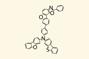 c1ccc(-c2nc3ccc4oc5cc(-c6ccc(N(c7ccc8c(c7)oc7ccccc78)c7ccc8c(c7)sc7ccccc78)cc6)ccc5c4c3o2)cc1